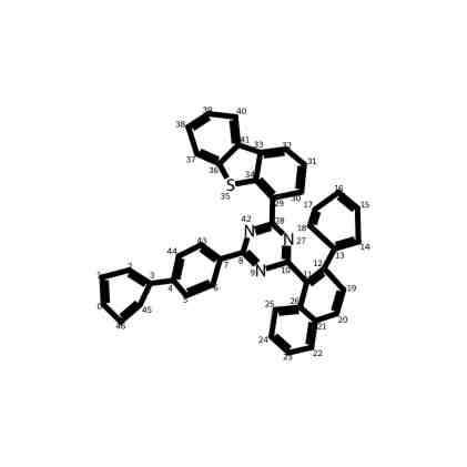 c1ccc(-c2ccc(-c3nc(-c4c(-c5ccccc5)ccc5ccccc45)nc(-c4cccc5c4sc4ccccc45)n3)cc2)cc1